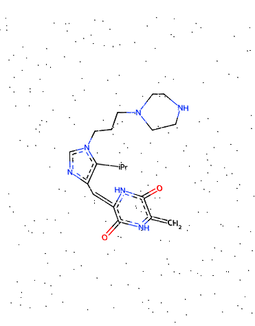 C=c1[nH]c(=O)c(=Cc2ncn(CCCN3CCNCC3)c2C(C)C)[nH]c1=O